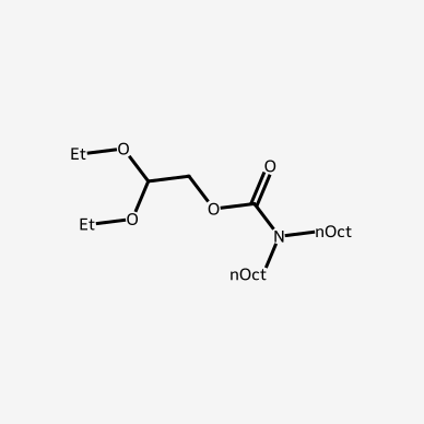 CCCCCCCCN(CCCCCCCC)C(=O)OCC(OCC)OCC